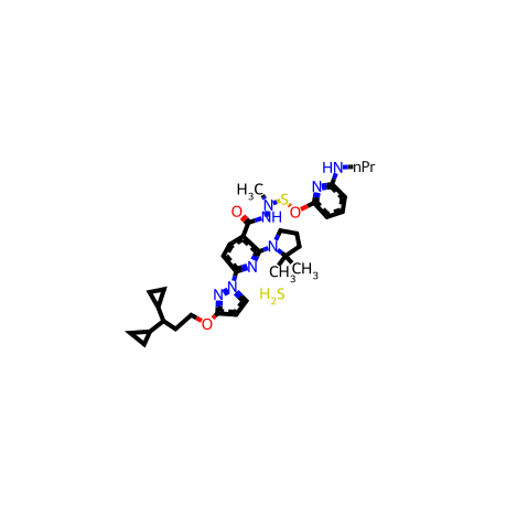 CCCNc1cccc(OSN(C)NC(=O)c2ccc(-n3ccc(OCCC(C4CC4)C4CC4)n3)nc2N2CCCC2(C)C)n1.S